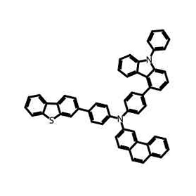 c1ccc(-n2c3ccccc3c3c(-c4ccc(N(c5ccc(-c6ccc7c(c6)sc6ccccc67)cc5)c5ccc6ccc7ccccc7c6c5)cc4)cccc32)cc1